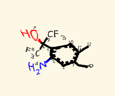 Cc1cc(N)c(C(O)(C(F)(F)F)C(F)(F)F)cc1C